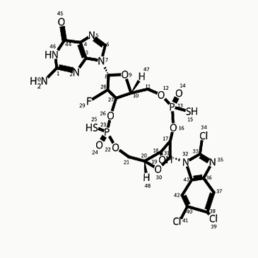 Nc1nc2c(ncn2[C@@H]2O[C@@H]3COP(=O)(S)OC4C(O)[C@@H](COP(=O)(S)OC3C2F)O[C@H]4n2c(Cl)nc3cc(Cl)c(Cl)cc32)c(=O)[nH]1